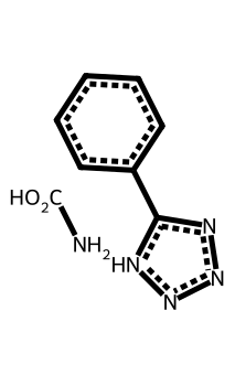 NC(=O)O.c1ccc(-c2nnn[nH]2)cc1